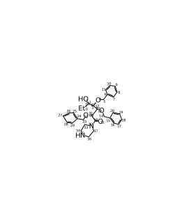 CC[C@@H](O)[C@@H](OCc1ccccc1)[C@H](OCc1ccccc1)[C@@H](OCc1ccccc1)C(=O)N1CCNCC1